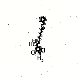 Nc1c(Cl)cc(C(O)CNCCCCCCOCCc2cccnc2)cc1Cl